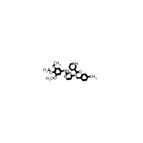 COc1cc(Nc2nccc(N(Cc3ccc(C)cc3)C(=O)C3CCCNC3)n2)cc(OC)c1OC